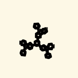 c1ccc(-n2c3ccc(-c4cc(-c5ccc6c(c5)c5ccncc5n6-c5ccccc5)cc(-c5ccc6c(c5)c5ccncc5n6-c5ccccc5)c4)cc3c3ccncc32)cc1